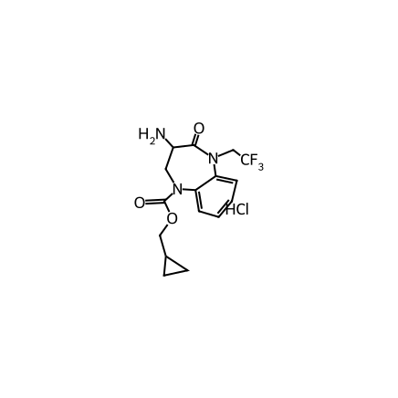 Cl.NC1CN(C(=O)OCC2CC2)c2ccccc2N(CC(F)(F)F)C1=O